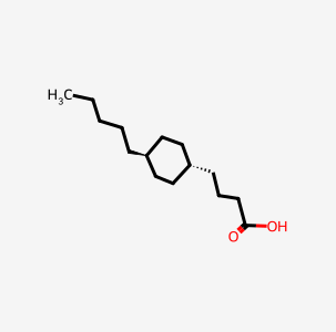 CCCCC[C@H]1CC[C@H](CCCC(=O)O)CC1